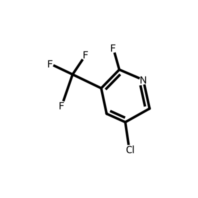 Fc1ncc(Cl)cc1C(F)(F)F